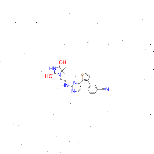 CC1(C)C(O)NC(O)N1CCNc1nccc(-c2sccc2-c2cccc(C#N)c2)n1